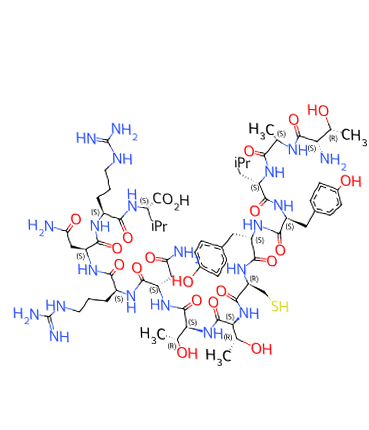 CC(C)C[C@H](NC(=O)[C@H](C)NC(=O)[C@@H](N)[C@@H](C)O)C(=O)N[C@@H](Cc1ccc(O)cc1)C(=O)N[C@@H](Cc1ccc(O)cc1)C(=O)N[C@@H](CS)C(=O)N[C@H](C(=O)N[C@H](C(=O)N[C@@H](CC(N)=O)C(=O)N[C@@H](CCCNC(=N)N)C(=O)N[C@@H](CC(N)=O)C(=O)N[C@@H](CCCNC(=N)N)C(=O)N[C@H](C(=O)O)C(C)C)[C@@H](C)O)[C@@H](C)O